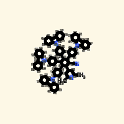 Cc1cc(-c2c(C#N)c(-c3ccc(-n4c5ccccc5c5ccccc54)cc3)c(-c3ccc(-n4c5ccccc5c5ccccc54)cc3)c(-c3ccc(-n4c5ccccc5c5ccccc54)cc3)c2-c2ccc(-n3c4ccccc4c4ccccc43)cc2)cc(C)n1